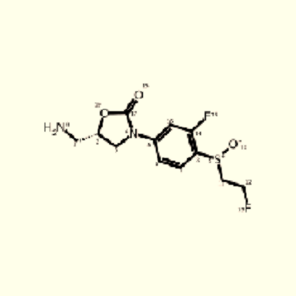 NC[C@H]1CN(c2ccc([S+]([O-])CCF)c(F)c2)C(=O)O1